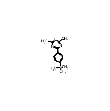 Cc1nc(C)nc(-c2ccc(S(C)(C)C)cc2)n1